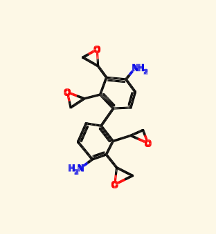 Nc1ccc(-c2ccc(N)c(C3CO3)c2C2CO2)c(C2CO2)c1C1CO1